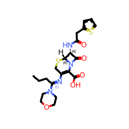 CCC/C(=N\C1=C(C(=O)O)N2C(=O)[C@@H](NC(=O)Cc3cccs3)[C@H]2SC1)N1CCOCC1